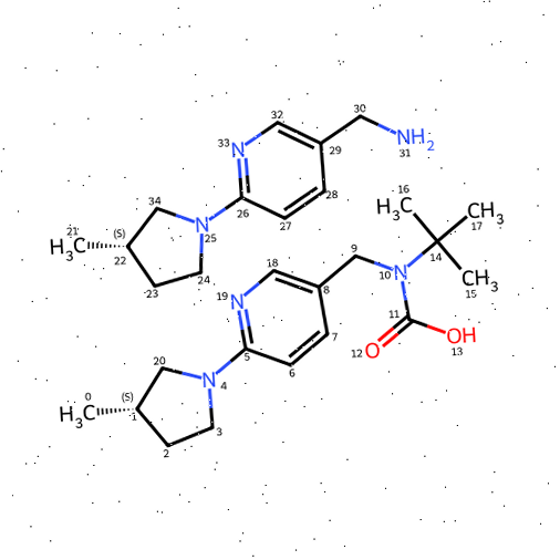 C[C@H]1CCN(c2ccc(CN(C(=O)O)C(C)(C)C)cn2)C1.C[C@H]1CCN(c2ccc(CN)cn2)C1